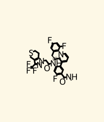 CNC(=O)c1cc(-c2cccnc2[C@H](Cc2cc(F)cc(F)c2)NC(=O)Cn2nc(C(F)(F)F)c3c2CCSC3)ccc1F